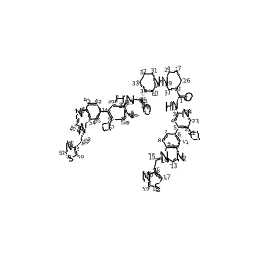 O=C(Nc1cc(-c2ccc3c(c2)ncn3Cc2cscn2)c(Cl)cn1)[C@@H]1CCCN(N2CCC[C@@H](C(=O)Nc3cc(-c4ccc5ncn(Cc6cscn6)c5c4)c(Cl)cn3)C2)C1